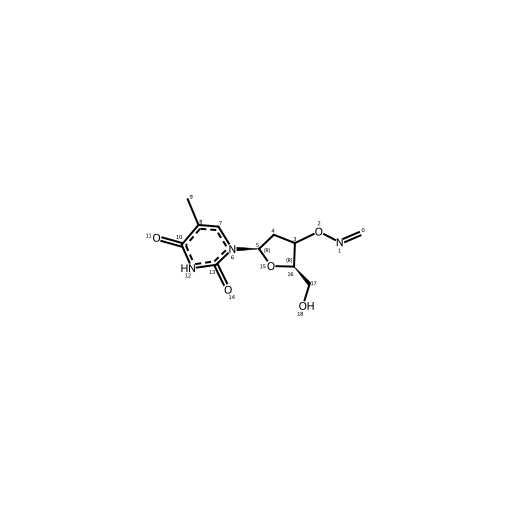 C=NOC1C[C@H](n2cc(C)c(=O)[nH]c2=O)O[C@@H]1CO